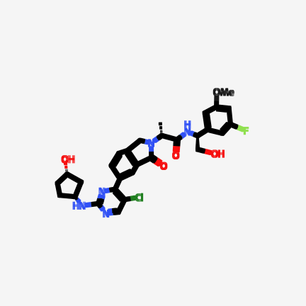 COc1cc(F)cc([C@@H](CO)NC(=O)[C@@H](C)N2Cc3ccc(-c4nc(N[C@H]5CC[C@H](O)C5)ncc4Cl)cc3C2=O)c1